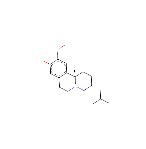 COc1cc2c(cc1O)CCN1C[C@@H](CC(C)C)[C@@H](O)C[C@@H]21